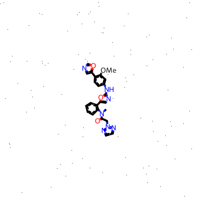 COc1cc(Nc2ncc(-c3ccccc3N(C)C(=O)Cn3nccn3)o2)ccc1-c1cnco1